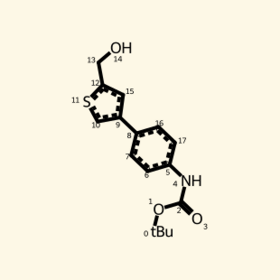 CC(C)(C)OC(=O)Nc1ccc(-c2csc(CO)c2)cc1